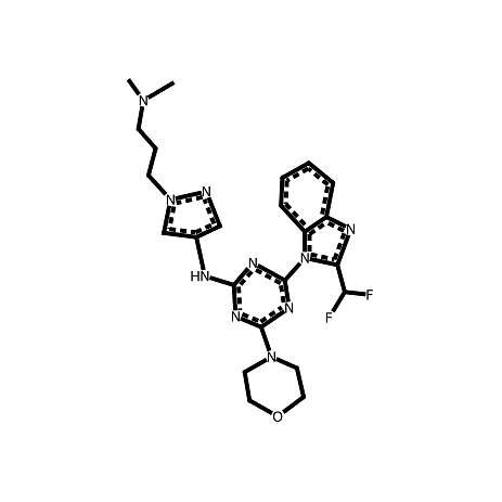 CN(C)CCCn1cc(Nc2nc(N3CCOCC3)nc(-n3c(C(F)F)nc4ccccc43)n2)cn1